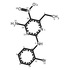 CCc1nc(Nc2ccccc2Br)nc(N)c1[N+](=O)[O-]